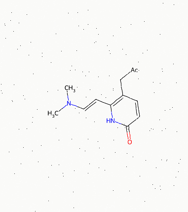 CC(=O)Cc1ccc(=O)[nH]c1C=CN(C)C